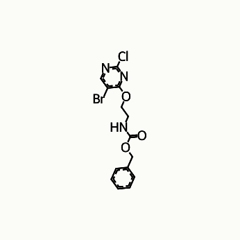 O=C(NCCOc1nc(Cl)ncc1Br)OCc1ccccc1